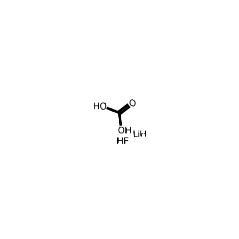 F.O=C(O)O.[LiH]